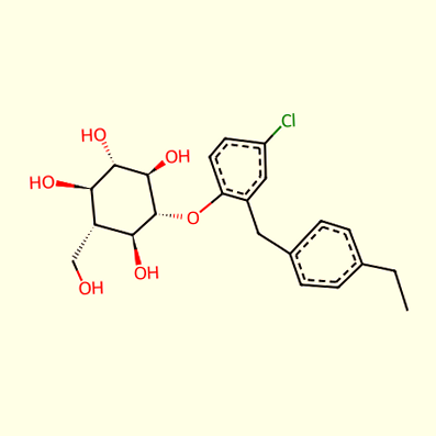 CCc1ccc(Cc2cc(Cl)ccc2O[C@H]2[C@H](O)[C@@H](O)[C@H](O)[C@@H](CO)[C@@H]2O)cc1